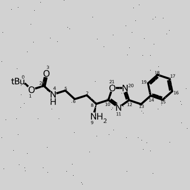 CC(C)(C)OC(=O)NCCC[C@H](N)c1nc(Cc2ccccc2)no1